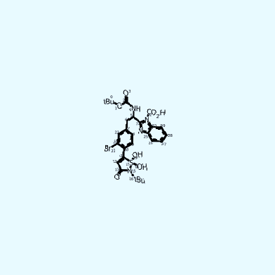 CC(C)(C)OC(=O)NC(Cc1ccc(C2=CC(=O)N(C(C)(C)C)S2(O)O)c(Br)c1)c1nc2ccccc2n1C(=O)O